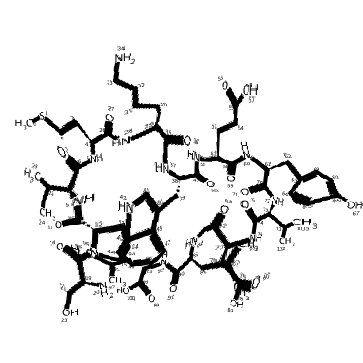 CSCC[C@H](NC(=O)[C@@H](NC(=O)[C@@H]1CCCN1C(=O)[C@@H](N)CO)C(C)C)C(=O)N[C@@H](CCCCN)C(=O)N[C@@H](Cc1c[nH]c2ccccc12)C(=O)N[C@@H](CCC(=O)O)C(=O)N[C@@H](Cc1ccc(O)cc1)C(=O)N[C@H](C(=O)N[C@@H](CC(=O)O)C(=O)N[C@@H](CC(C)C)C(=O)N[C@@H](CC(C)C)C(=O)O)C(C)C